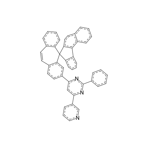 C1=Cc2ccc(-c3cc(-c4cccnc4)nc(-c4ccccc4)n3)cc2C2(c3ccccc31)c1ccccc1-c1c2ccc2ccccc12